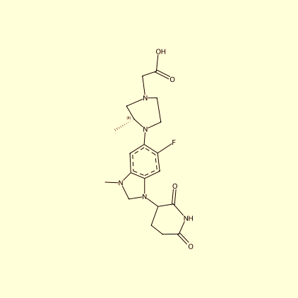 C[C@@H]1CN(CC(=O)O)CCN1c1cc2c(cc1F)N(C1CCC(=O)NC1=O)CN2C